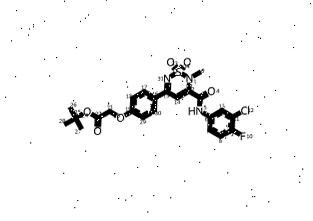 CN1C(C(=O)Nc2ccc(F)c(Cl)c2)=CC(c2ccc(OCC(=O)OC(C)(C)C)cc2)=NS1(=O)=O